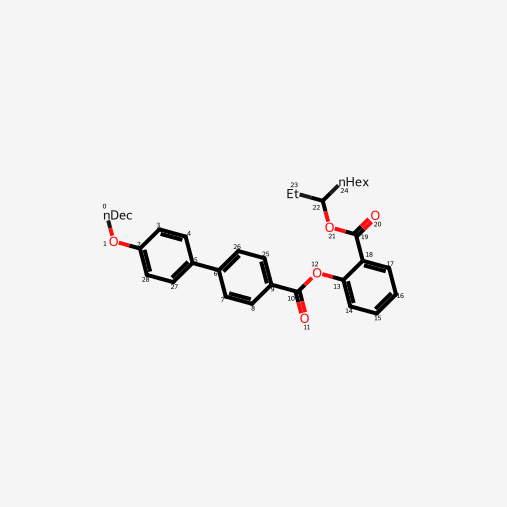 CCCCCCCCCCOc1ccc(-c2ccc(C(=O)Oc3ccccc3C(=O)OC(CC)CCCCCC)cc2)cc1